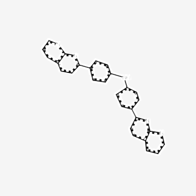 c1cnc2nc(-c3ccc(Nc4ccc(-c5ccc6cccnc6n5)cc4)cc3)ccc2c1